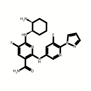 NC(=O)c1cc(F)c(N[C@@H]2CCCC[C@@H]2N)nc1Nc1cnc(-n2cccn2)c(F)c1